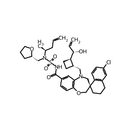 C=CC[C@H](C)N(C[C@@H]1CCCO1)S(=O)(=O)NC(=O)c1ccc2c(c1)N(C[C@@H]1CC[C@H]1[C@@H](O)C=C)C[C@@]1(CCCc3cc(Cl)ccc31)CO2